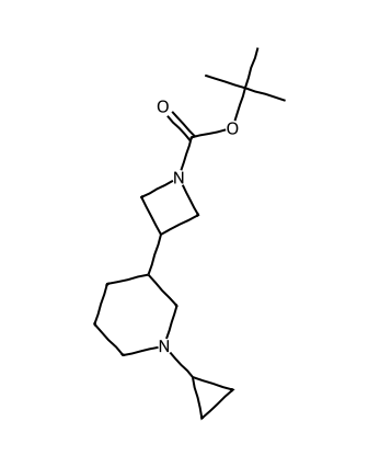 CC(C)(C)OC(=O)N1CC(C2CCCN(C3CC3)C2)C1